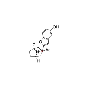 CC(=O)N1C[C@H]2CC[C@@H](C1)N2Cc1cc2cc(O)ccc2o1